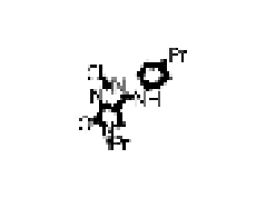 CC(C)c1ccc(Nc2nc(Cl)nc3c2CN(C(C)C)C3=O)cc1